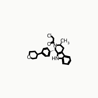 C[C@H]1Cc2c([nH]c3ccccc23)[C@H](c2ccc(C3CCOCC3)cc2)N1C(=O)CCl